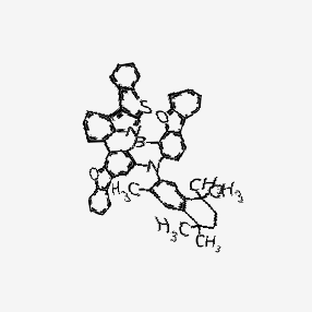 Cc1cc2c(cc1N1c3cc4c(oc5ccccc54)c4c3B(c3c1ccc1c3oc3ccccc31)n1c3sc5ccccc5c3c3cccc-4c31)C(C)(C)CCC2(C)C